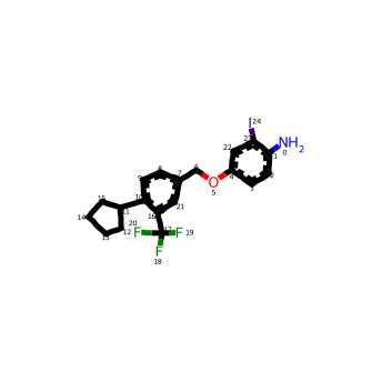 Nc1ccc(OCc2ccc(C3CCCC3)c(C(F)(F)F)c2)cc1I